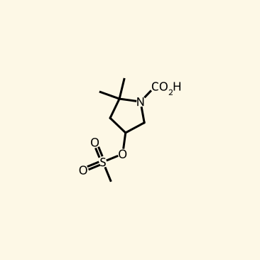 CC1(C)CC(OS(C)(=O)=O)CN1C(=O)O